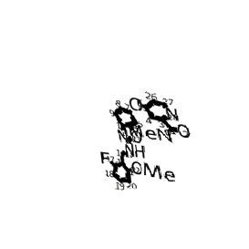 CNC(=O)c1cc(Oc2ccc3nc(NCc4c(F)cccc4OC)oc3c2)ccn1